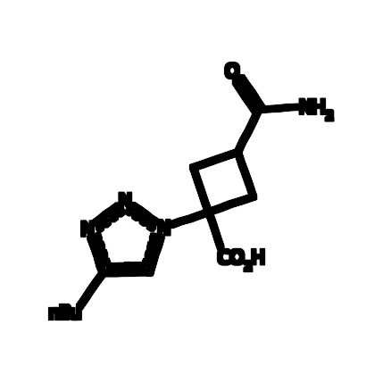 CCCCc1cn(C2(C(=O)O)CC(C(N)=O)C2)nn1